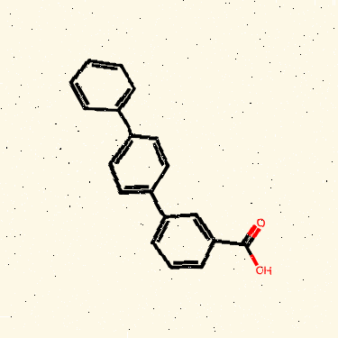 O=C(O)c1cccc(-c2ccc(-c3ccccc3)cc2)c1